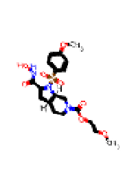 COCCOC(=O)N1CC[C@H]2CC(C(=O)NO)N(S(=O)(=O)c3ccc(OC)cc3)[C@H]2C1